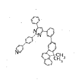 CC1(C)c2ccc(-c3cccc(-c4cc(-c5ccccc5)nc(-c5ccc(-c6ccncc6)cc5)n4)c3)cc2-c2ccc3ccccc3c21